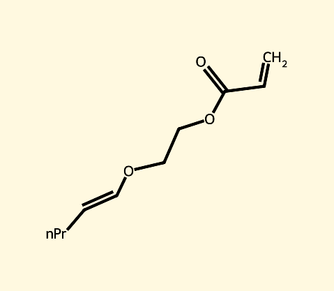 C=CC(=O)OCCOC=CCCC